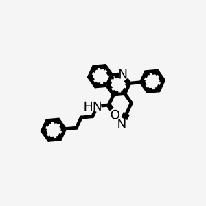 N#CCc1c(-c2ccccc2)nc2ccccc2c1C(=O)NCCCc1ccccc1